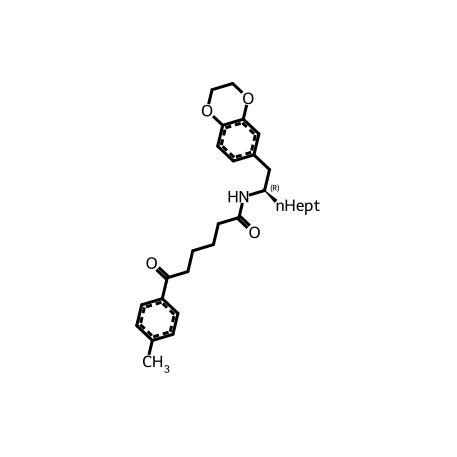 CCCCCCC[C@H](Cc1ccc2c(c1)OCCO2)NC(=O)CCCCC(=O)c1ccc(C)cc1